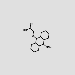 CCC(O)COC1C2CCCCC2C(OC)C2CCCCC21